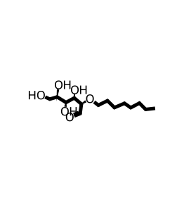 CCCCCCCCO[C@@H](C=O)[C@@H](O)[C@@H](O)[C@H](O)CO